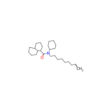 C=CCCCCCCCN(C(=O)C1CCCC2CCCCC21)C1CCCCC1